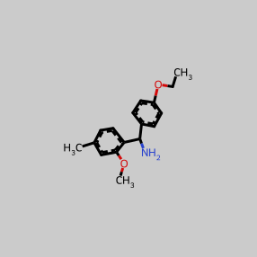 CCOc1ccc(C(N)c2ccc(C)cc2OC)cc1